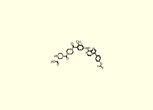 Cc1cc(Nc2nccn3c(-c4ccc(OC(F)F)cc4)cnc23)ccc1C(=O)N1CCN(C(=O)N2CCN[C@@H](C(=O)O)C2)CC1